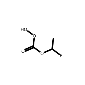 CCC(C)OC(=O)OO